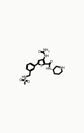 CS(=O)(=O)NCc1cccc(-c2cc(NC(N)=O)c(C(=O)N[C@H]3CCCNC3)s2)c1